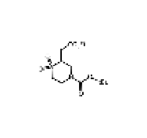 CCOC(=O)CC1CN(C(=O)OC(C)(C)C)CCS1(=O)=O